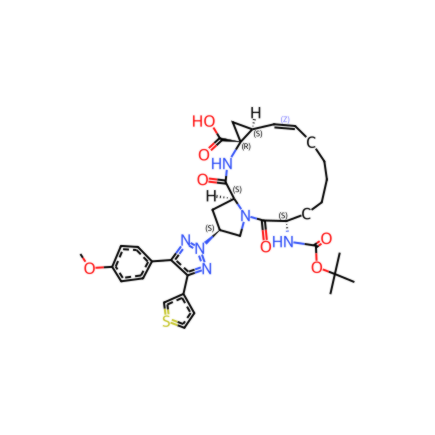 COc1ccc(-c2nn([C@H]3C[C@H]4C(=O)N[C@]5(C(=O)O)C[C@H]5/C=C\CCCCC[C@H](NC(=O)OC(C)(C)C)C(=O)N4C3)nc2-c2ccsc2)cc1